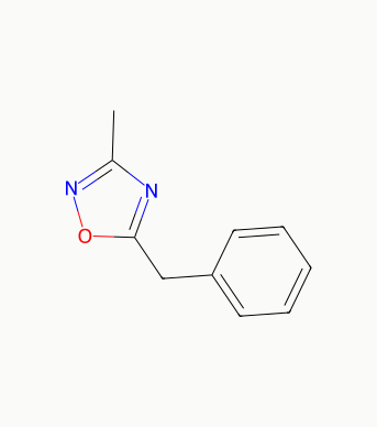 Cc1noc(Cc2ccccc2)n1